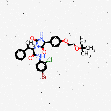 CC(c1ccccc1)C(C(=O)Nc1ccc(Br)cc1Cl)N1C(=O)NC(c2ccc(OCCOC(C)(C)C)cc2)C1=O